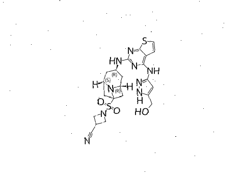 N#CC1CN(S(=O)(=O)C23C[C@H]4C[C@H](Nc5nc(Nc6cc(CO)[nH]n6)c6ccsc6n5)C[C@@H](C2)N43)C1